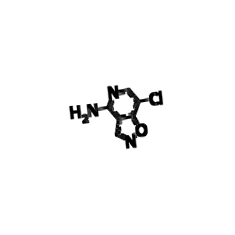 Nc1ncc(Cl)c2oncc12